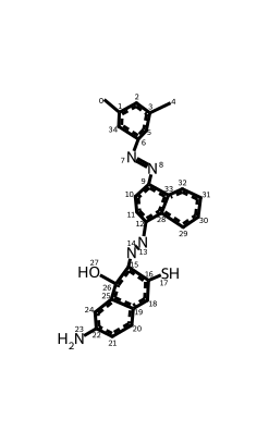 Cc1cc(C)cc(N=Nc2ccc(N=Nc3c(S)cc4ccc(N)cc4c3O)c3ccccc23)c1